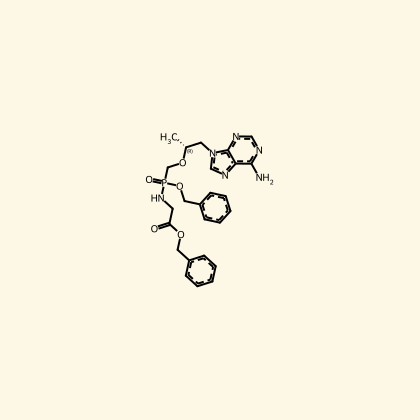 C[C@H](Cn1cnc2c(N)ncnc21)OCP(=O)(NCC(=O)OCc1ccccc1)OCc1ccccc1